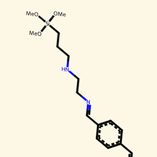 C=Cc1ccc(C=NCCNCCC[Si](OC)(OC)OC)cc1